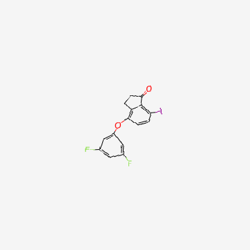 O=C1CCc2c(Oc3cc(F)cc(F)c3)ccc(I)c21